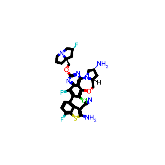 N#Cc1c(N)sc2c(F)ccc(-c3c(Cl)c4c5c(nc(OC[C@@]67CCCN6C[C@H](F)C7)nc5c3F)N3C[C@H](N)C[C@H]3CO4)c12